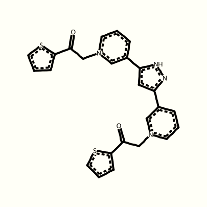 O=C(C[n+]1cccc(-c2cc(-c3ccc[n+](CC(=O)c4cccs4)c3)[nH]n2)c1)c1cccs1